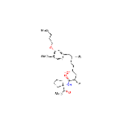 COCCCOc1cc(C[C@@H](CC[C@@H](O)C[C@H](C(=O)NC2(C(=O)OC)CCCC2)C(C)C)C(C)C)ccc1OC